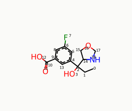 CCC(O)(c1cc(F)cc(C(=O)O)c1)C1COCN1